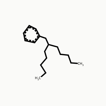 CCCCCC(CCCCC)Cc1cc[c]cc1